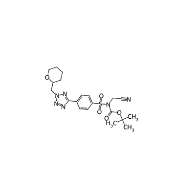 CC(C)(C)OC(=O)N(CC#N)S(=O)(=O)c1ccc(-c2nnn(CC3CCCCO3)n2)cc1